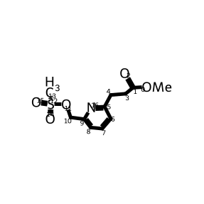 COC(=O)CCc1cccc(COS(C)(=O)=O)n1